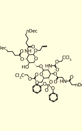 C=CCO[C@H]1O[C@H](COC2O[C@H](COC(=O)OCC(Cl)(Cl)Cl)[C@@H](OP(=O)(Oc3ccccc3)Oc3ccccc3)[C@H](OC(=O)CNC(=O)CCCCCCCCCCC)[C@H]2NC(=O)OCC(Cl)(Cl)Cl)[C@@H](O)[C@H](OC(=O)CCCCCCCCCCCCC)[C@H]1NC(=O)CCCCCCCCCCCCC